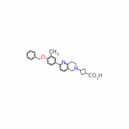 Cc1cc(-c2ccc3c(n2)CCN(C2CC(C(=O)O)C2)C3)ccc1OCc1ccccc1